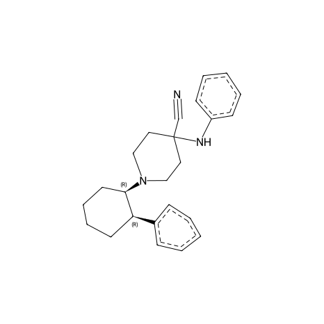 N#CC1(Nc2ccccc2)CCN([C@@H]2CCCC[C@@H]2c2ccccc2)CC1